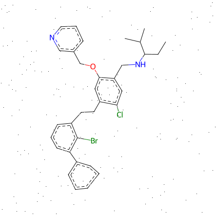 CCC(NCc1cc(Cl)c(CCc2cccc(-c3ccccc3)c2Br)cc1OCc1cccnc1)C(C)C